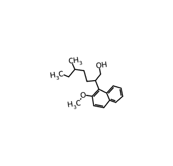 CCC(C)CCC(CO)c1c(OC)ccc2ccccc12